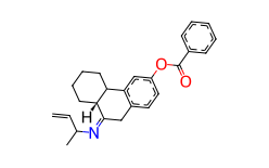 C=CC(C)/N=C1/Cc2ccc(OC(=O)c3ccccc3)cc2C2CCCC[C@@H]12